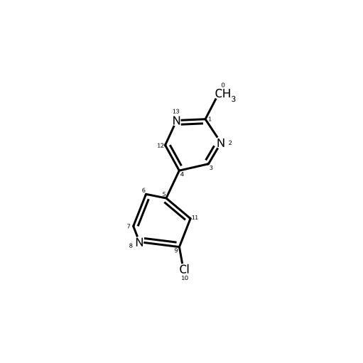 Cc1ncc(-c2ccnc(Cl)c2)cn1